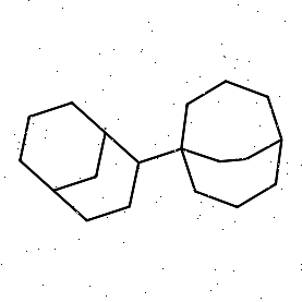 C1C[C]2CC(C1)CCC2C12CCCC(CCC1)CC2